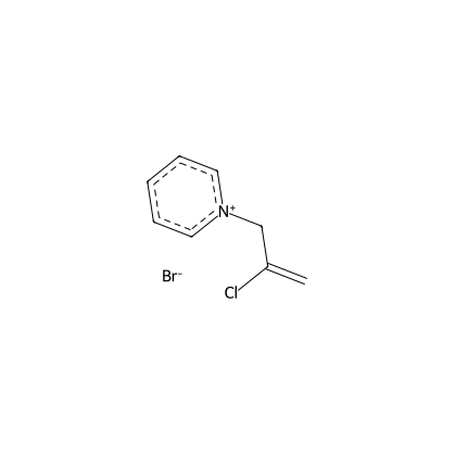 C=C(Cl)C[n+]1ccccc1.[Br-]